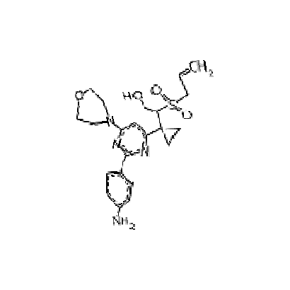 C=CCS(=O)(=O)C(CO)C1(c2cc(N3CCOCC3)nc(-c3ccc(N)cc3)n2)CC1